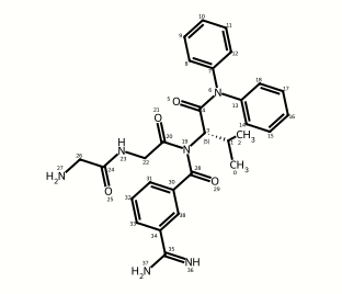 CC(C)[C@@H](C(=O)N(c1ccccc1)c1ccccc1)N(C(=O)CNC(=O)CN)C(=O)c1cccc(C(=N)N)c1